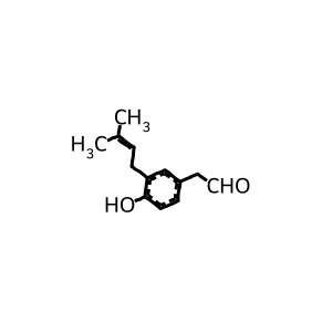 CC(C)=CCc1cc(CC=O)ccc1O